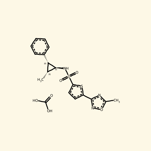 Cc1nc(-c2ccc(S(=O)(=O)N[C@H]3[C@H](C)[C@@H]3c3ccccc3)s2)no1.O=C(O)O